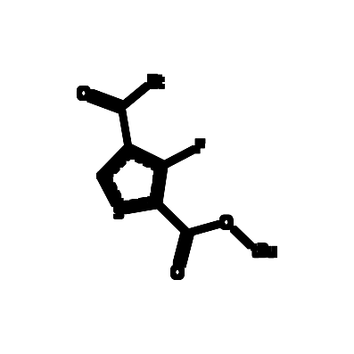 CCC(=O)c1csc(C(=O)OC(C)(C)C)c1F